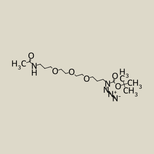 CC(=O)NCCCOCCOCCOCCCN(N=[N+]=[N-])C(=O)OC(C)(C)C